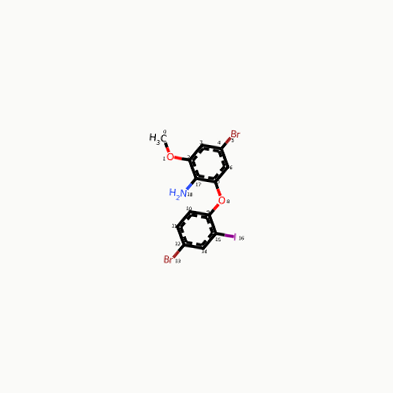 COc1cc(Br)cc(Oc2ccc(Br)cc2I)c1N